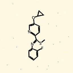 CSC(=Nc1ccccc1F)c1ccc(OC2CC2)cn1